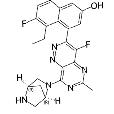 CCc1c(F)ccc2cc(O)cc(-c3nnc4c(N5C[C@H]6C[C@@H]5CN6)nc(C)nc4c3F)c12